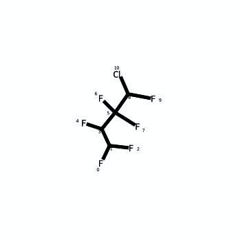 FC(F)C(F)C(F)(F)C(F)Cl